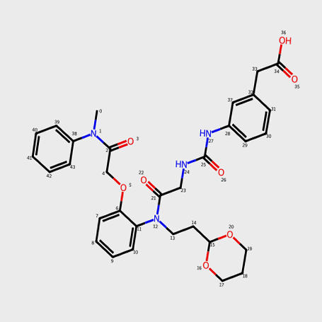 CN(C(=O)COc1ccccc1N(CCC1OCCCO1)C(=O)CNC(=O)Nc1cccc(CC(=O)O)c1)c1ccccc1